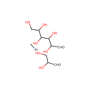 CC(C)=O.O=CC(O)C(O)C(O)C(O)CO.O=CC(O)CO